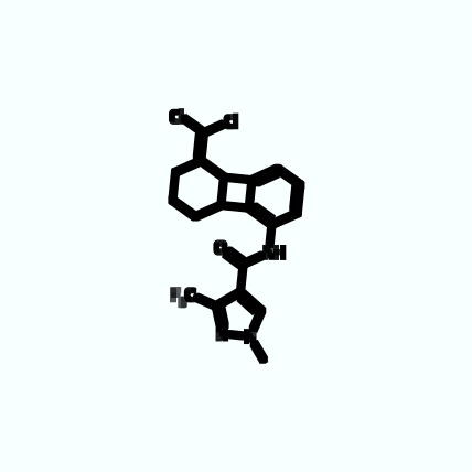 Cn1cc(C(=O)Nc2cccc3c2C2CCCC(=C(Cl)Cl)C32)c(C(F)(F)F)n1